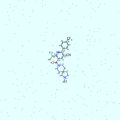 CCN1CCC2(CCN(C(=O)c3cc(C#N)c(-c4ccc(C(F)(F)F)cc4)nc3C(F)F)CC2)C1